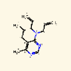 C=CCN(CC=C)c1ncnc(C)c1CCC